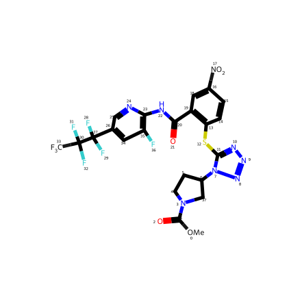 COC(=O)N1CCC(n2nnnc2Sc2ccc([N+](=O)[O-])cc2C(=O)Nc2ncc(C(F)(F)C(F)(F)C(F)(F)F)cc2F)C1